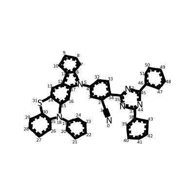 N#Cc1cc(-n2c3ccccc3c3cc4c(cc32)N(c2ccccc2)c2ccccc2S4)ccc1-c1nc(-c2ccccc2)nc(-c2ccccc2)n1